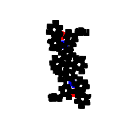 CC(C)(C)c1ccc(N(c2ccc3c(c2)C(C)(C)c2cccc4c2c-3c(-c2ccccc2)c2ccc(N(c3ccc(C(C)(C)C)cc3)c3cccc5c3oc3ccccc35)cc24)c2cccc3c2oc2ccccc23)cc1